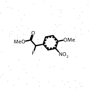 COC(=O)C(F)c1ccc(OC)c([N+](=O)[O-])c1